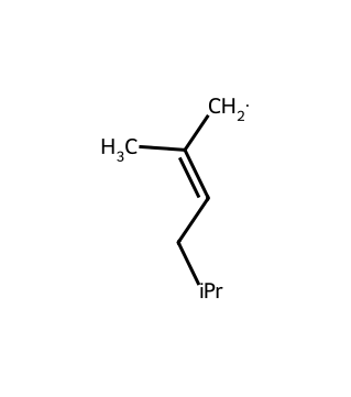 [CH2]C(C)=CCC([CH2])C